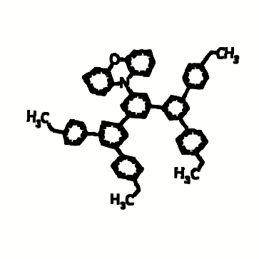 CCc1ccc(-c2cc(-c3ccc(CC)cc3)cc(-c3cc(-c4cc(-c5ccc(CC)cc5)cc(-c5ccc(CC)cc5)c4)cc(N4c5ccccc5Oc5ccccc54)c3)c2)cc1